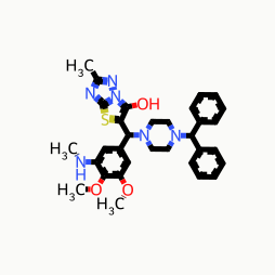 CNc1cc(C(c2sc3nc(C)nn3c2O)N2CCN(C(c3ccccc3)c3ccccc3)CC2)cc(OC)c1OC